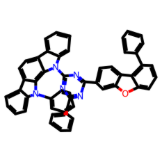 c1ccc(-c2nc(-c3ccc4c(c3)oc3cccc(-c5ccccc5)c34)nc(-n3c4ccccc4c4ccc5c6ccccc6n(-c6ccccc6)c5c43)n2)cc1